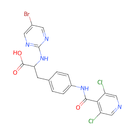 O=C(Nc1ccc(CC(Nc2ncc(Br)cn2)C(=O)O)cc1)c1c(Cl)cncc1Cl